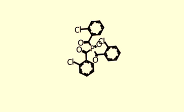 O=C(c1ccccc1Cl)P(=O)(C(=O)c1ccccc1Cl)C(=O)c1ccccc1Cl